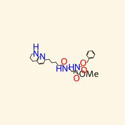 COC(=O)[C@@H](CCNC(=O)CCCCc1ccc2c(n1)NCCC2)NC(=O)OCc1ccccc1